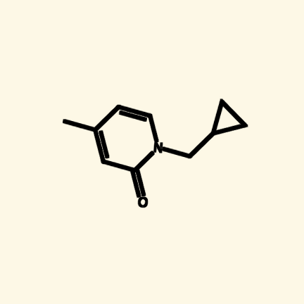 Cc1ccn(CC2CC2)c(=O)c1